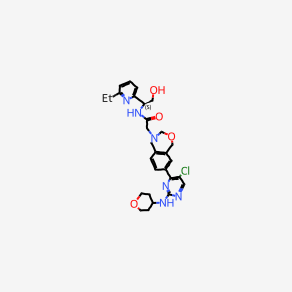 CCc1cccc([C@@H](CO)NC(=O)CN2COCc3cc(-c4nc(NC5CCOCC5)ncc4Cl)ccc3C2)n1